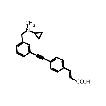 CN(Cc1cccc(C#Cc2ccc(C=CC(=O)O)cc2)c1)C1CC1